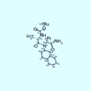 CC(C)[C@@H](C(N)=O)N(C(=O)[C@H](C)NC(=O)OC(C)(C)C)c1ccc2ccccc2c1